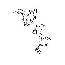 CNc1nc(Cl)nn2c(C3CCC(COP(O)CP(O)O)O3)cnc12